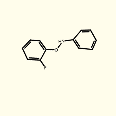 Fc1ccccc1ONc1ccccc1